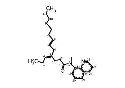 CC/C=C(/C/C=C/CCCCCC)CCC(=O)Nc1cccc2cccnc12